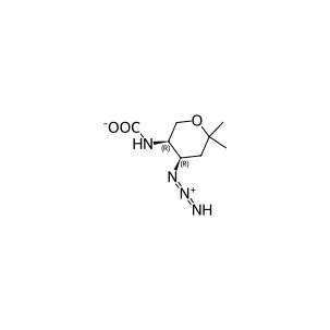 CC1(C)C[C@@H](N=[N+]=N)[C@@H](NC(=O)[O-])CO1